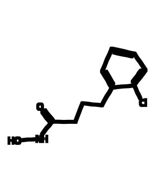 O=C(CCCc1ccccc1Cl)NO